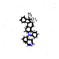 CC1(C)c2ccccc2-c2c1ccc1c2ccc2c1c1ccccc1n2-c1cccc2cnccc12